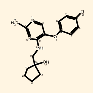 Nc1ncc(Oc2ccc(Cl)cc2)c(NCC2(O)CCCC2)n1